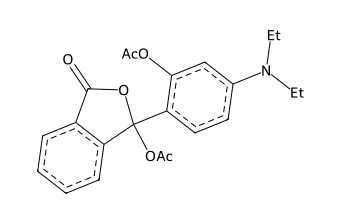 CCN(CC)c1ccc(C2(OC(C)=O)OC(=O)c3ccccc32)c(OC(C)=O)c1